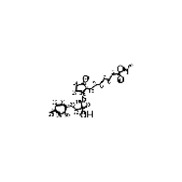 CCOC(=O)CCCCCCC1C(=O)CCC1SCC(C)(O)CCc1ccc(C)cc1